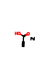 C#CC(=O)O.[Pd]